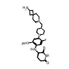 COc1cc(N2CCC(CN3CCC4(CC3)CC(N)C4)CC2)c(F)cc1NC1CCC(=O)NC1=O